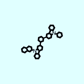 c1ccc(-n2c3ccccc3c3cc(-c4cccc(-c5ccc6c7ccccc7n(-c7ccc8ccccc8c7)c6c5)c4)ccc32)cc1